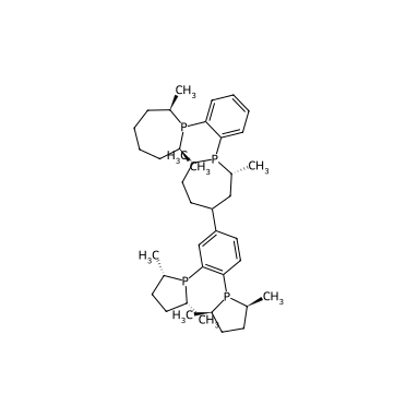 C[C@@H]1CC[C@H](C)P1c1ccc(C2CC[C@H](C)P(c3ccccc3P3[C@H](C)CCCC[C@@H]3C)[C@H](C)C2)cc1P1[C@H](C)CC[C@@H]1C